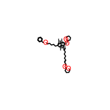 C(=CCOC1CCCCO1)CCCCC=C[C@@H]1[C@@H]2CC(CCCCCOCc3ccccc3)=C[C@@H]2C[C@H]1OC1CCCCO1